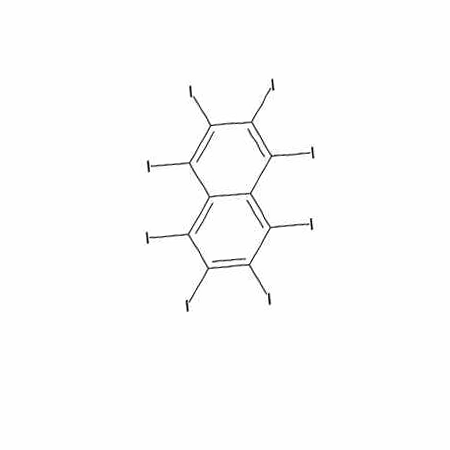 Ic1c(I)c(I)c2c(I)c(I)c(I)c(I)c2c1I